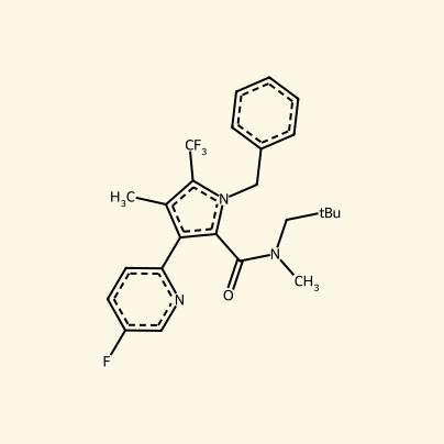 Cc1c(-c2ccc(F)cn2)c(C(=O)N(C)CC(C)(C)C)n(Cc2ccccc2)c1C(F)(F)F